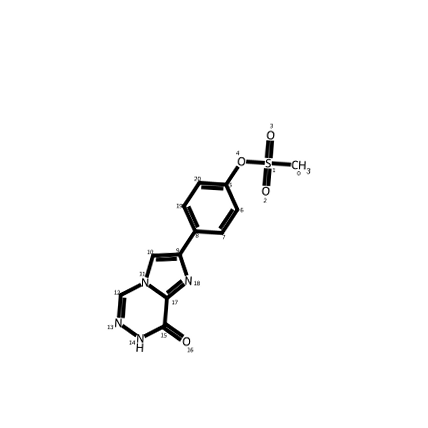 CS(=O)(=O)Oc1ccc(-c2cn3cn[nH]c(=O)c3n2)cc1